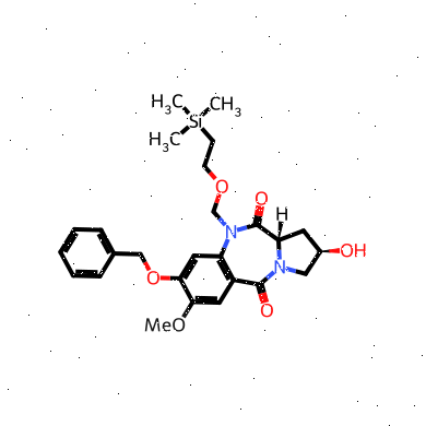 COc1cc2c(cc1OCc1ccccc1)N(COCC[Si](C)(C)C)C(=O)[C@@H]1C[C@@H](O)CN1C2=O